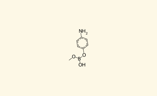 COB(O)Oc1ccc(N)cc1